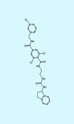 O=C(NCCNC(=O)c1c(Cl)cc(C(=O)NCc2cccc(Cl)c2)cc1Cl)NC1CCc2ccccc21